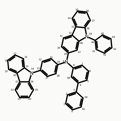 c1ccc(-c2cccc(N(c3ccc(-n4c5ccccc5c5ccccc54)cc3)c3ccc4c5ccccc5n(-c5ccccc5)c4c3)c2)cc1